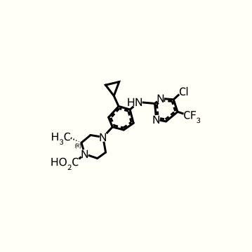 C[C@@H]1CN(c2ccc(Nc3ncc(C(F)(F)F)c(Cl)n3)c(C3CC3)c2)CCN1C(=O)O